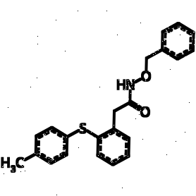 Cc1ccc(Sc2ccccc2CC(=O)NOCc2ccccc2)cc1